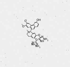 COc1cc2c(C3c4cc(OC(N=N)=NN)c(OC(N=N)=NN)cc4CCN3C)cc3ccc(O)cc3c2cc1OC